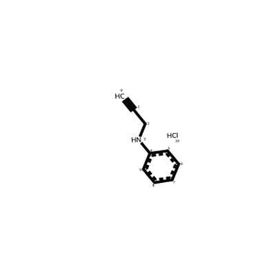 C#CCNc1ccccc1.Cl